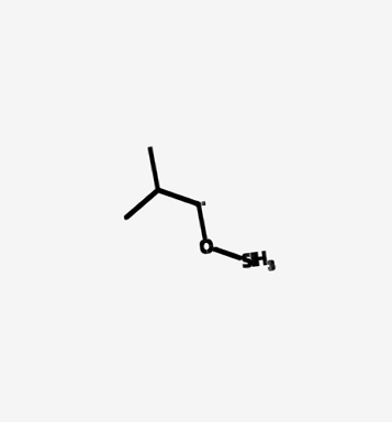 CC(C)[CH]O[SiH3]